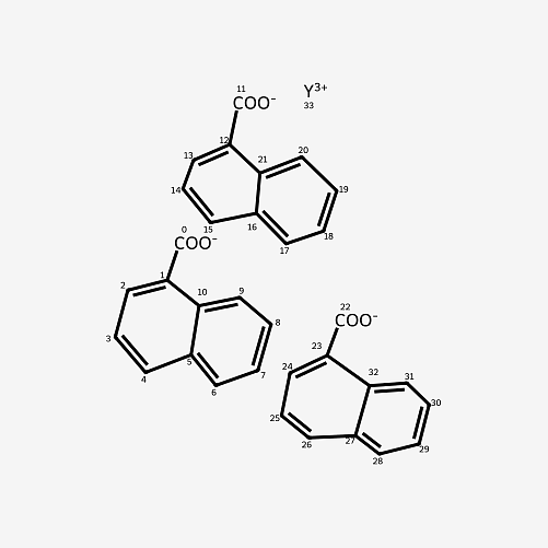 O=C([O-])c1cccc2ccccc12.O=C([O-])c1cccc2ccccc12.O=C([O-])c1cccc2ccccc12.[Y+3]